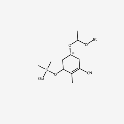 CCOC(C)O[C@@H]1CC(C#N)=C(C)C(O[Si](C)(C)C(C)(C)C)C1